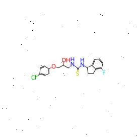 OC(CNC(=S)NC1CCc2c(F)cccc21)COc1ccc(Cl)cc1